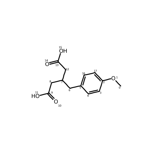 COc1ccc(CC(CC(=O)O)CC(=O)O)cc1